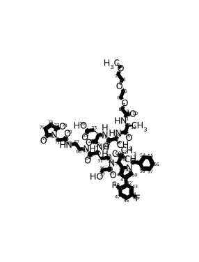 COCCOCCOCC(=O)N[C@@H](C)C(=O)N[C@H](C)C(=O)N[C@@H](CC(=O)O)C(=O)N[C@@H](CCN(C(=O)CO)[C@@H](c1cc(-c2cc(F)ccc2F)cn1Cc1ccccc1)C(C)(C)C)C(=O)NCCNC(=O)CN1C(=O)C=CC1=O